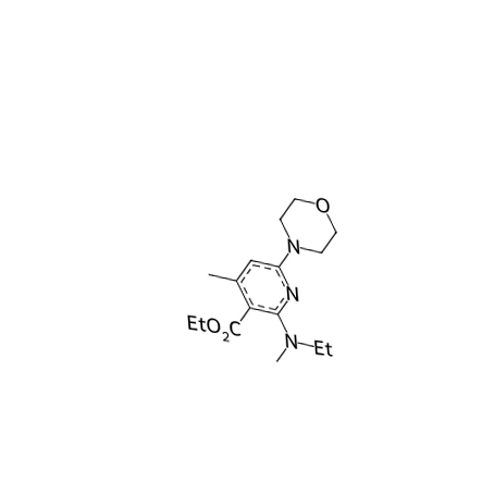 CCOC(=O)c1c(C)cc(N2CCOCC2)nc1N(C)CC